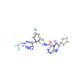 N=C/C(=N\NCC(F)F)c1cc(F)cc(CNC(=O)c2ncnc3nc(C4CCCC4)[nH]c23)c1